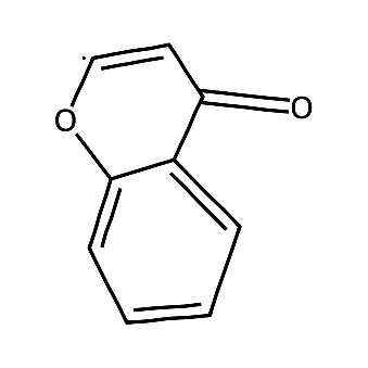 O=c1c[c]oc2ccccc12